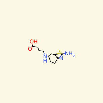 Nc1nc2c(s1)C[C@@H](NCCCC(=O)O)CC2